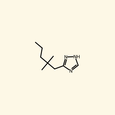 CCCC(C)(C)Cc1nc[nH]n1